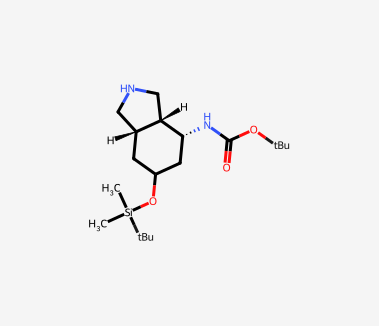 CC(C)(C)OC(=O)N[C@@H]1CC(O[Si](C)(C)C(C)(C)C)C[C@@H]2CNC[C@@H]21